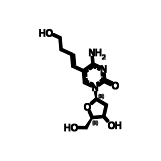 Nc1nc(=O)n([C@H]2CC(O)[C@@H](CO)O2)cc1C=CCCO